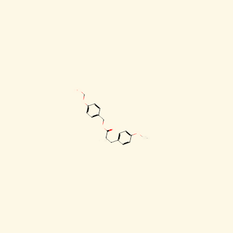 C[C@@H](Cc1ccc(OC(C)(C)C)cc1)C(=O)OCc1ccc(OCO)cc1